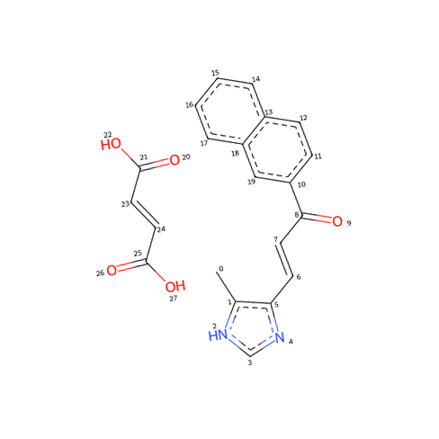 Cc1[nH]cnc1C=CC(=O)c1ccc2ccccc2c1.O=C(O)C=CC(=O)O